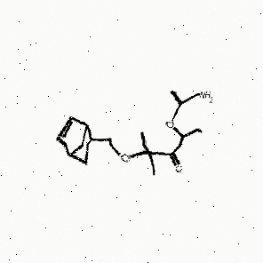 CC(N)OC(C)C(=O)C(C)(C)OCC1CC2C=CC1C2